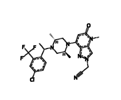 CC(c1ccc(Cl)cc1C(F)(F)F)N1C[C@H](C)N(c2cc(=O)n(C)c3cn(CC#N)nc23)C[C@H]1C